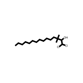 CCCCCCCCCCCCC(C)(C)C(O)C(Cl)Cl